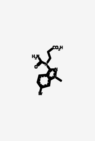 Cn1nc(N(CCC(=O)O)C(N)=O)c2ccc(Br)cc21